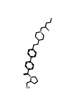 C=C(c1ccc(-c2ccc(CCC3CCN(CC(F)CCC)CC3)cc2)cc1)N1CCCC1CO